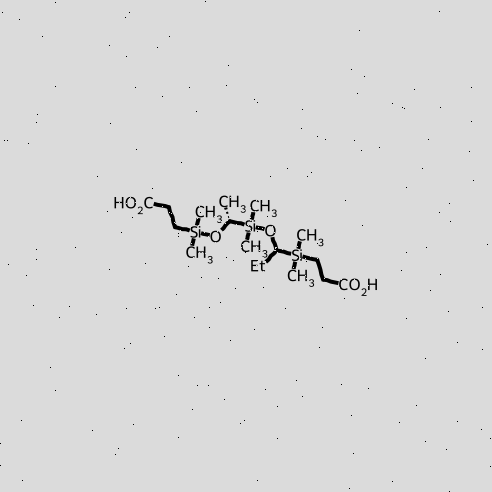 CCC(O[Si](C)(C)[C@@H](C)O[Si](C)(C)CCC(=O)O)[Si](C)(C)CCC(=O)O